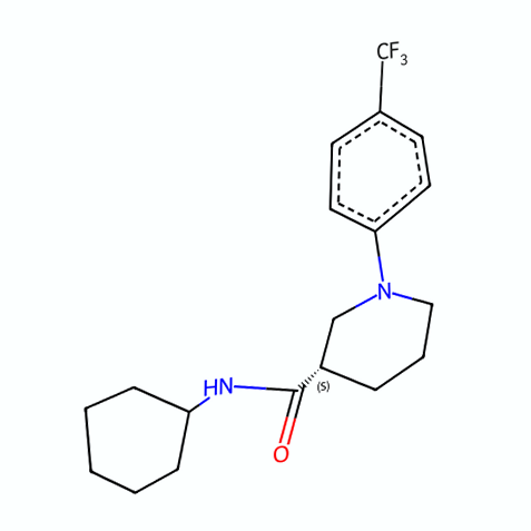 O=C(NC1CCCCC1)[C@H]1CCCN(c2ccc(C(F)(F)F)cc2)C1